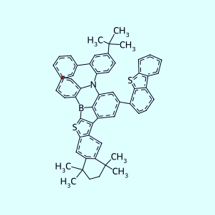 CC(C)(C)c1ccc(N2c3ccccc3B3c4sc5cc6c(cc5c4-c4cc(-c5cccc7c5sc5ccccc57)cc2c43)C(C)(C)CCC6(C)C)c(-c2ccccc2)c1